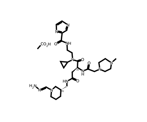 CC(=O)O.CN1CCN(CC(=O)N[C@@H](CC(=O)NC[C@@H]2CCCN(C=NN)C2)C(=O)N(CCNC(=O)c2cnccn2)C2CC2)CC1